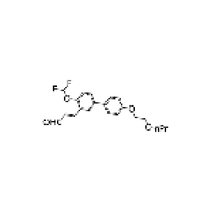 CCCOCCOc1ccc(-c2ccc(OC(F)F)c(/C=C/C=O)c2)cc1